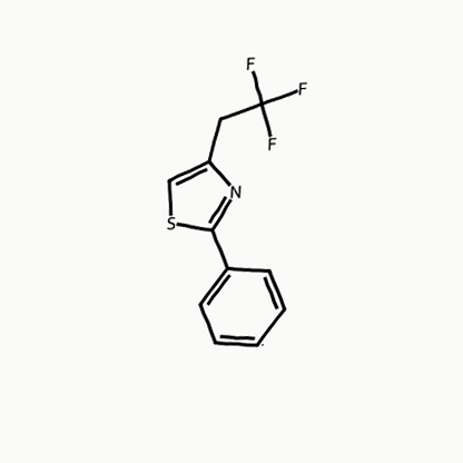 FC(F)(F)Cc1csc(-c2cc[c]cc2)n1